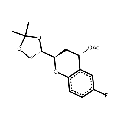 CC(=O)O[C@H]1C[C@H]([C@@H]2COC(C)(C)O2)Oc2ccc(F)cc21